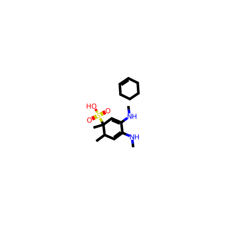 C1=CCCCC1.CNC1=CC(C)C(C)(S(=O)(=O)O)C=C1NC